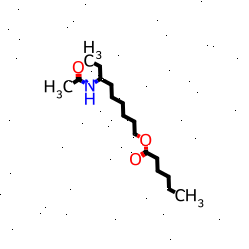 CCCCCC(=O)OCCCCCCC(CC)NC(C)=O